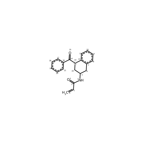 C=CC(=O)NC1Cc2ccccc2N(C(=O)c2ccccc2)C1